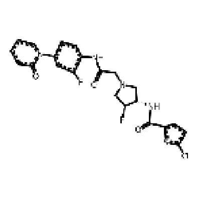 O=C(CN1C[C@H](NC(=O)c2ccc(Cl)s2)[C@@H](F)C1)Nc1ccc(-n2ccccc2=O)cc1F